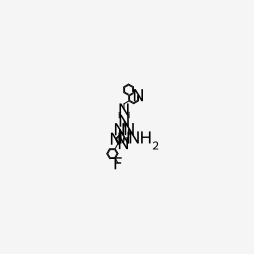 Nc1nc(N2CCN(Cc3ccnc4ccccc34)CC2)nc2nc(-c3cccc(F)c3)nn12